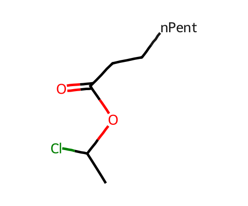 CCCCCCCC(=O)OC(C)Cl